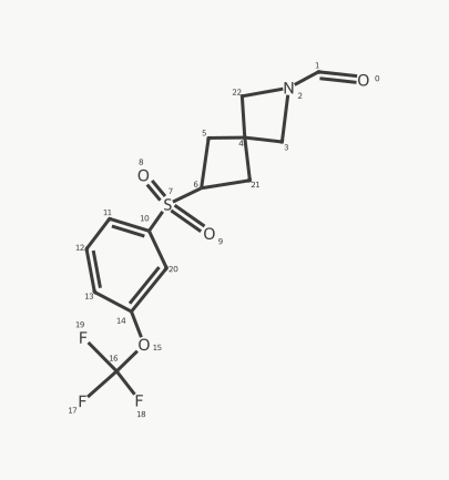 O=CN1CC2(CC(S(=O)(=O)c3cccc(OC(F)(F)F)c3)C2)C1